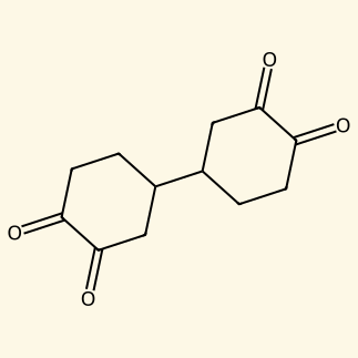 O=C1CCC(C2CCC(=O)C(=O)C2)CC1=O